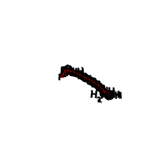 CC(C)(C)c1cc(-c2ccc(F)cc2)nn2cc(C(=O)N3CCN(C(=O)c4cn(CC(=O)NCCOCCOCCOCCOCCOCCOCCOCCOCCOCCOCCOCCOCCC(=O)N[C@H](CCCCNC(=O)O)C(=O)NN)nn4)CC3(C)C)nc12